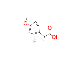 COc1ccc(C(C)C(=O)O)c(F)c1